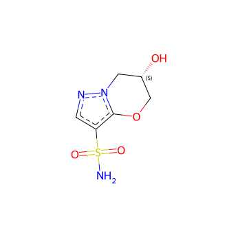 NS(=O)(=O)c1cnn2c1OC[C@@H](O)C2